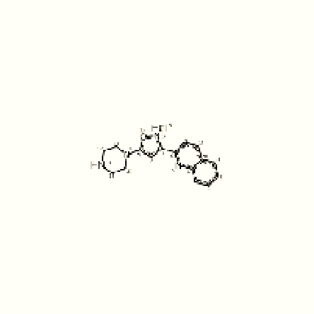 Cl.c1ccc2nc(-c3cc(N4CCNCC4)on3)ccc2c1